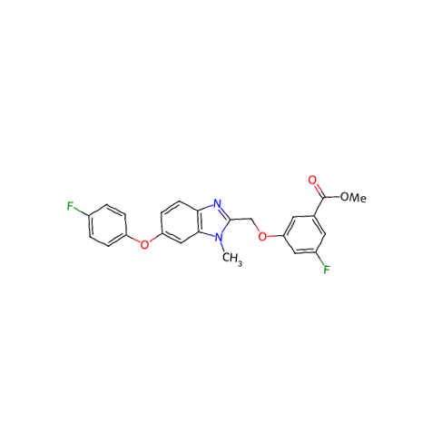 COC(=O)c1cc(F)cc(OCc2nc3ccc(Oc4ccc(F)cc4)cc3n2C)c1